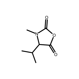 CC(C)C1C(=O)OC(=O)N1C